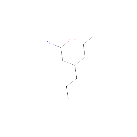 CCCC(CCC)CC(N)O